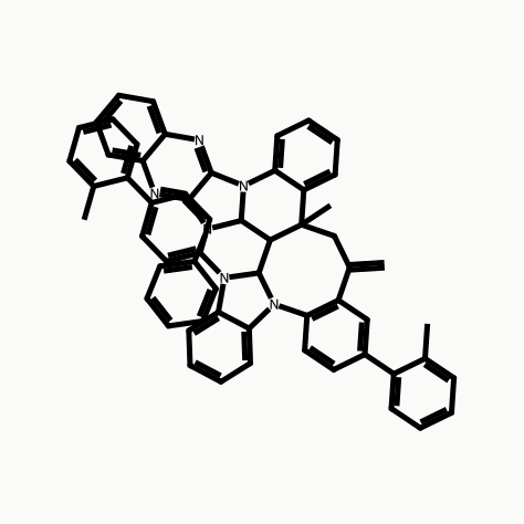 C=C1CC2(C)c3ccccc3N3c4nc5ccccc5nc4N(c4ccccc4)C3C2C2N(c3ccc(-c4ccccc4C)cc3)c3ccccc3N2c2ccc(-c3ccccc3C)cc21